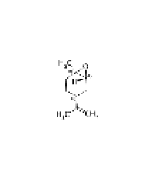 C=C(C)[C@H]1CC[C@@]2(C)O[C@@H]2C1